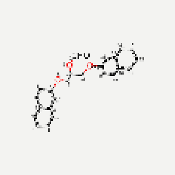 O=COC(COc1ccc2ccccc2c1)COc1ccc2ccccc2c1